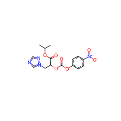 CC(C)OC(=O)C(Cn1cncn1)OC(=O)Oc1ccc([N+](=O)[O-])cc1